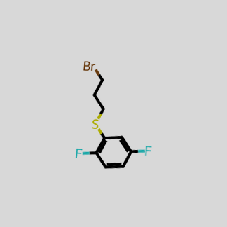 Fc1ccc(F)c(SCCCBr)c1